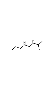 CCCNCNC(C)C